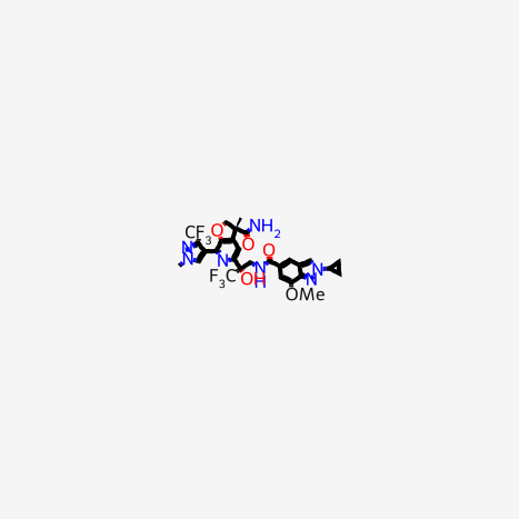 COc1cc(C(=O)NCC(O)(c2cc3c(c(-c4cn(C)nc4C(F)(F)F)n2)OC[C@]3(C)C(N)=O)C(F)(F)F)cc2cn(C3CC3)nc12